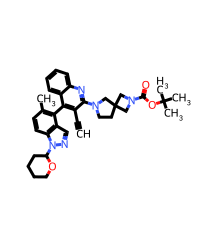 C#Cc1c(N2CCC3(CN(C(=O)OC(C)(C)C)C3)C2)nc2ccccc2c1-c1c(C)ccc2c1cnn2C1CCCCO1